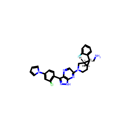 NC[C@]1(c2ccccc2F)[C@@H]2CCN(c3cnc4c(-c5ccc(-n6cccc6)cc5Cl)n[nH]c4n3)C[C@@H]21